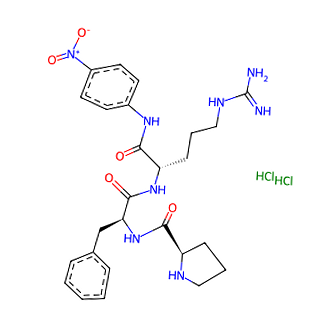 Cl.Cl.N=C(N)NCCC[C@H](NC(=O)[C@H](Cc1ccccc1)NC(=O)[C@H]1CCCN1)C(=O)Nc1ccc([N+](=O)[O-])cc1